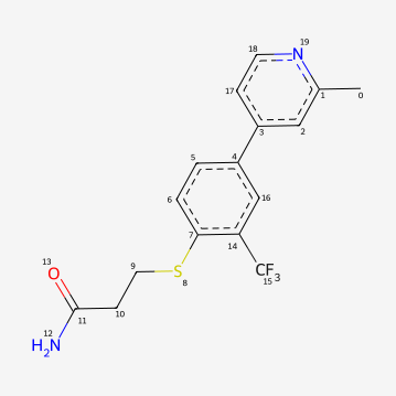 Cc1cc(-c2ccc(SCCC(N)=O)c(C(F)(F)F)c2)ccn1